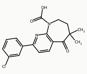 CC1(C)CCN(C(=O)O)c2nc(-c3cccc(Cl)c3)ccc2C1=O